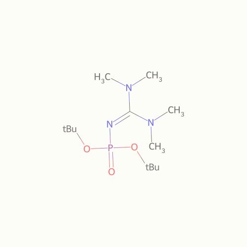 CN(C)C(=NP(=O)(OC(C)(C)C)OC(C)(C)C)N(C)C